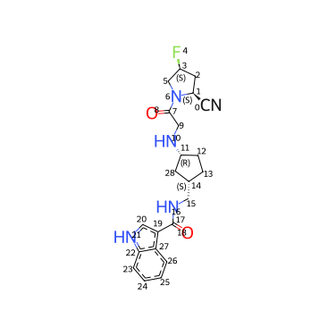 N#C[C@@H]1C[C@H](F)CN1C(=O)CN[C@@H]1CC[C@H](CNC(=O)c2c[nH]c3ccccc23)C1